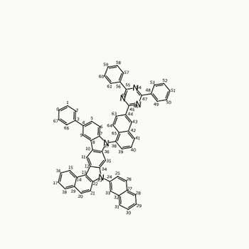 c1ccc(-c2ccc3c(c2)c2cc4c5c6ccccc6ccc5n(-c5ccc6ccccc6c5)c4cc2n3-c2cccc3cc(-c4nc(-c5ccccc5)nc(-c5ccccc5)n4)ccc23)cc1